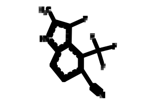 Cc1[nH]c2ccc(C#N)c(C(F)(F)F)c2c1F